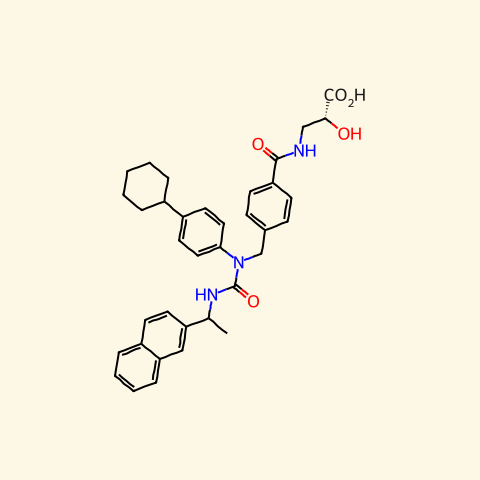 CC(NC(=O)N(Cc1ccc(C(=O)NC[C@@H](O)C(=O)O)cc1)c1ccc(C2CCCCC2)cc1)c1ccc2ccccc2c1